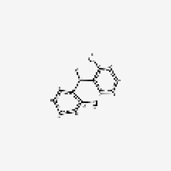 CC(c1ccccc1Cl)c1ccccc1Cl